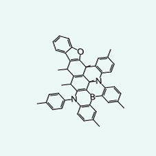 Cc1ccc(N2C3=C4B(c5cc(C)ccc52)c2cc(C)ccc2N2c5ccc(C)cc5C5(C)C(=C(C3C)C(C)c3c5oc5ccccc35)C42C)cc1